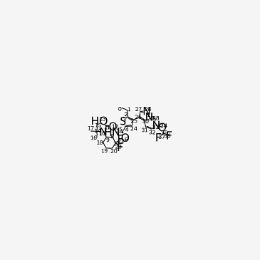 CCc1sc(C(=O)N[C@@H]2[C@H](N(C(=O)O)C(C)(C)C)CCCC2(F)F)cc1-c1cnn2c1C=CN(OC(F)F)C2